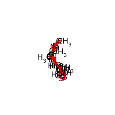 COc1ccc(C2=CN3C(=O)c4cc(OC)c(OCCCOc5cc6c(cc5OC)C(=O)N5C=C(c7ccc(NC(=O)CNC(=O)C(NC(=O)c8cc9nc(c8)NC(=O)CCSC8CCCC(C8)SCCC(=O)N9)C(C)C)cc7)CC5C=N6)cc4N=CC3C2)cc1